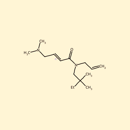 C=CCN(CC(C)(C)CC)C(=O)/C=C/CN(C)C